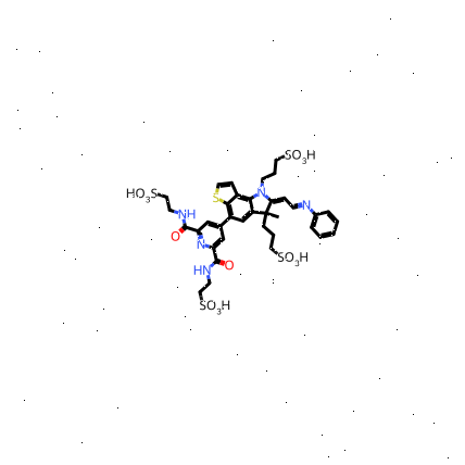 CC1(CCCS(=O)(=O)O)C(=CC=Nc2ccccc2)N(CCCS(=O)(=O)O)c2c1cc(-c1cc(C(=O)NCCS(=O)(=O)O)nc(C(=O)NCCS(=O)(=O)O)c1)c1sccc21